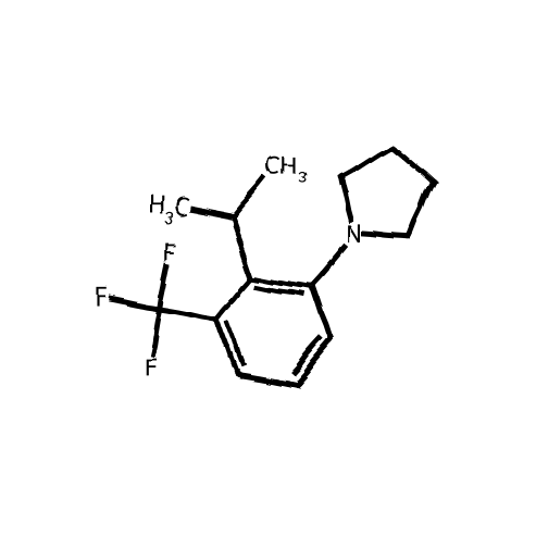 CC(C)c1c(N2CCCC2)cccc1C(F)(F)F